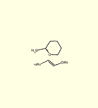 CCCCC=COC.[SiH3]C1CCCCO1